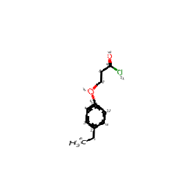 CCc1ccc(OCCC(=O)Cl)cc1